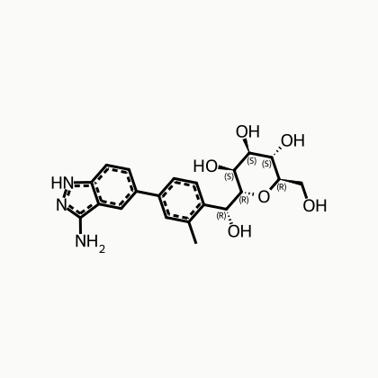 Cc1cc(-c2ccc3[nH]nc(N)c3c2)ccc1[C@@H](O)[C@H]1O[C@H](CO)[C@@H](O)[C@H](O)[C@@H]1O